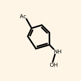 CC(=O)c1ccc(NO)cc1